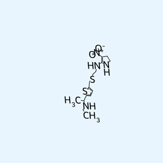 CCNC(C)c1ccc(CSCCNC2=C([N+](=O)[O-])CCN2)s1